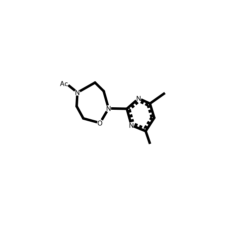 CC(=O)N1CCON(c2nc(C)cc(C)n2)CC1